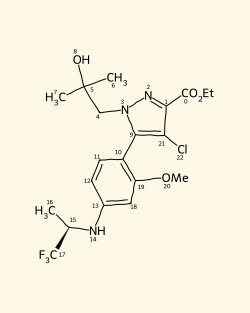 CCOC(=O)c1nn(CC(C)(C)O)c(-c2ccc(N[C@H](C)C(F)(F)F)cc2OC)c1Cl